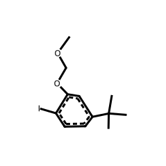 COCOc1cc(C(C)(C)C)ccc1I